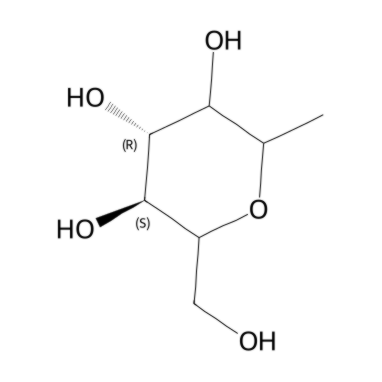 CC1OC(CO)[C@@H](O)[C@H](O)C1O